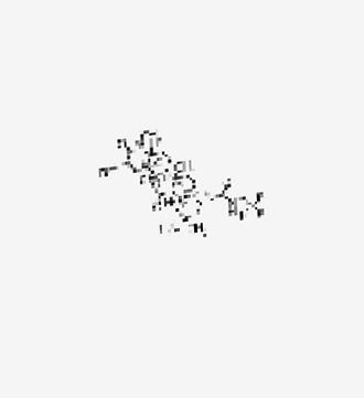 C[C@@H]1C(=O)C(C#N)=C[C@]2(C)C3=CC(=O)C4[C@H]5CC(C)(C)CC[C@]5(CCC(=O)NCC(F)(F)F)CC[C@@]4(C)[C@]3(C)CC[C@@H]12